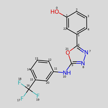 Oc1cccc(-c2nnc(Nc3cccc(C(F)(F)F)c3)o2)c1